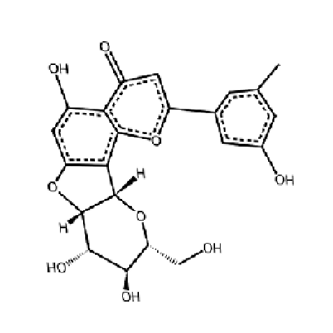 Cc1cc(O)cc(-c2cc(=O)c3c(O)cc4c(c3o2)[C@@H]2O[C@H](CO)[C@@H](O)[C@H](O)[C@@H]2O4)c1